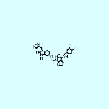 C[C@H](COc1ccc2c(c1)NC(=O)/C2=C\c1cnc[nH]1)Nc1ncccc1C(=O)NCc1ccc(F)c(F)c1